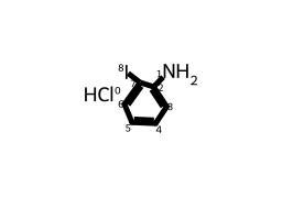 Cl.Nc1ccccc1I